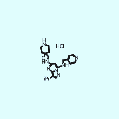 CC(C)c1cnn2c(NCc3ccncc3)cc(NCC3(O)CCNCC3)nc12.Cl